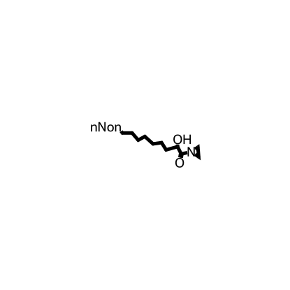 CCCCCCCCCCCCCCCCC(O)C(=O)N1CC1